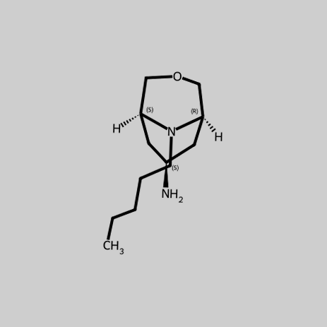 CCCCCN1[C@@H]2COC[C@H]1C[C@@H](N)C2